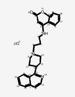 Cl.O=c1cc(NCCCN2CCC(c3nccc4ccccc34)CC2)c2ccccc2o1